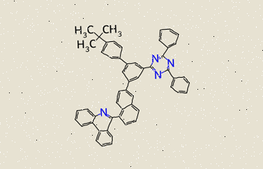 CC(C)(C)c1ccc(-c2cc(-c3ccc4c(-c5nc6ccccc6c6ccccc56)cccc4c3)cc(-c3nc(-c4ccccc4)nc(-c4ccccc4)n3)c2)cc1